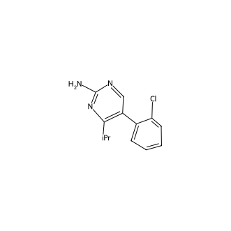 CC(C)c1nc(N)ncc1-c1ccccc1Cl